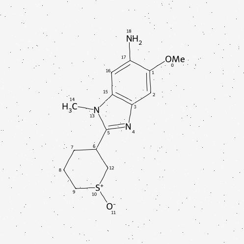 COc1cc2nc(C3CCC[S+]([O-])C3)n(C)c2cc1N